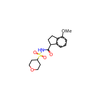 COc1cccc2c1CCC2C(=O)NS(=O)(=O)C1CCOCC1